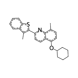 Cc1c(-c2ccc3c(OC4CCCCC4)ccc(C)c3n2)sc2ccccc12